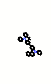 CC1(C)c2ccccc2N(c2ccccc2)c2ccc(-c3ccc4c(c3)c3c5ccccc5ccc3n4C3=CCCC=C3)cc21